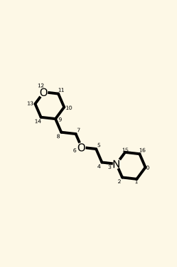 C1CCN(CCOCCC2CCOCC2)CC1